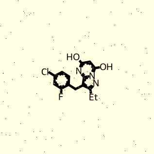 CCc1nn2c(O)cc(O)nc2c1Cc1ccc(Cl)cc1F